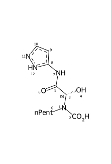 CCCCCN(C(=O)O)[C@@H](O)C(=O)Nc1ccn[nH]1